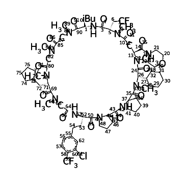 CC[C@H](C)[C@@H]1NC(=O)[C@H](CC(F)(F)F)N(C)C(=O)C[C@@H](C(=O)N2CCOCC2)N(C)C(=O)[C@H](C2CCCCC2)N(C)C(=O)C2(CCCC2)NC(=O)[C@@H]2CCCN2C(=O)[C@H](CCc2ccc(C(F)(F)F)c(Cl)c2)NC(=O)CN(C)C(=O)[C@H](CC2CCCC2)N(C)C(=O)CN(C)C(=O)CN(C)C1=O